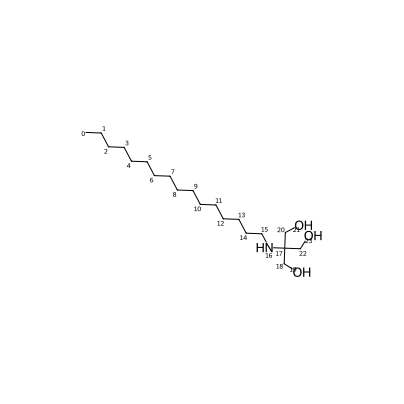 CCCCCCCCCCCCCCCCNC(CO)(CO)CO